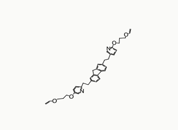 C=COCCCOc1ccc(CCc2ccc3c(c2)Cc2cc(CCc4ccc(OCCCOC=C)nc4)ccc2-3)nc1